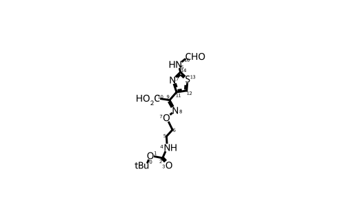 CC(C)(C)OC(=O)NCCON=C(C(=O)O)c1csc(NC=O)n1